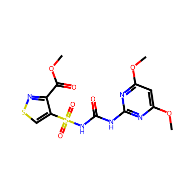 COC(=O)c1nscc1S(=O)(=O)NC(=O)Nc1nc(OC)cc(OC)n1